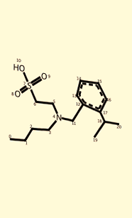 CCCCN(CCS(=O)(=O)O)Cc1ccccc1C(C)C